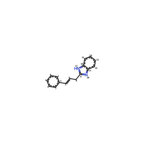 C(=C\c1ccccc1)/Cc1nc2ccccc2[nH]1